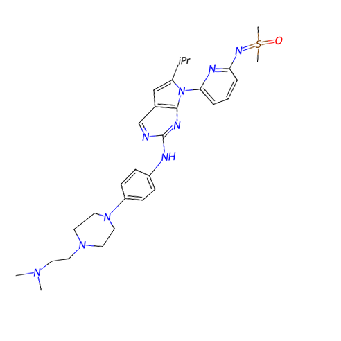 CC(C)c1cc2cnc(Nc3ccc(N4CCN(CCN(C)C)CC4)cc3)nc2n1-c1cccc(N=S(C)(C)=O)n1